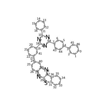 c1ccc(-c2ccc(-c3nc(-c4ccccc4)nc(-c4cccc(-c5ccc6nc7sc8ccccc8c7nc6c5)c4)n3)cc2)cc1